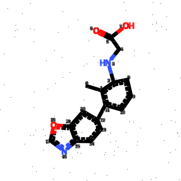 Cc1c(NCC(=O)O)cccc1-c1ccc2ncoc2c1